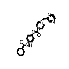 O=C(Nc1ccc(OC(=O)N2CCN(Cc3cnccn3)CC2)cc1)C1CCCCC1